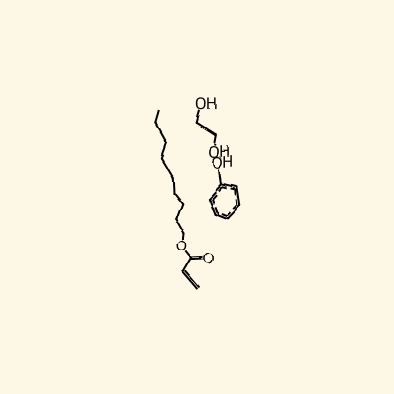 C=CC(=O)OCCCCCCCCC.OCCO.Oc1ccccc1